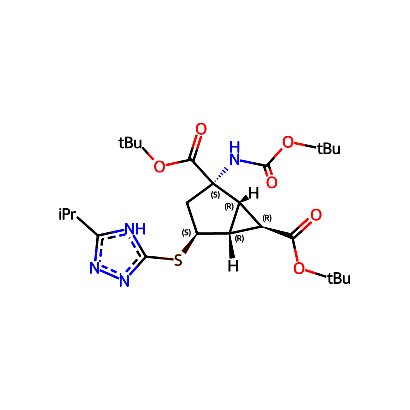 CC(C)c1nnc(S[C@H]2C[C@@](NC(=O)OC(C)(C)C)(C(=O)OC(C)(C)C)[C@@H]3[C@@H](C(=O)OC(C)(C)C)[C@@H]32)[nH]1